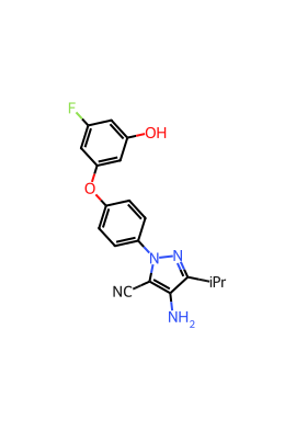 CC(C)c1nn(-c2ccc(Oc3cc(O)cc(F)c3)cc2)c(C#N)c1N